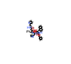 CC(C)C[C@H](NC(=O)C(Cc1nccs1)NC(=O)[C@H](Cc1cccc2ccccc12)NC(=O)OCc1ccccc1)[C@@H](O)CC(=O)NCCc1ccccn1